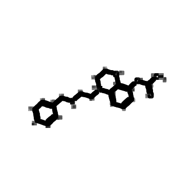 CC(=O)Oc1cccc2c1OCCN2CCSCc1ccccc1